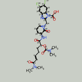 CN(C)C(=O)/C=C/CC[C@H](OC(=O)N(C)C)C(=O)Nc1cccn(Cc2nc3cc(F)c(F)cc3n2C(=O)O)c1=O